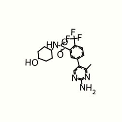 Cc1nc(N)ncc1-c1ccc(C(F)(F)F)c(S(=O)(=O)N[C@H]2CC[C@@H](O)CC2)c1